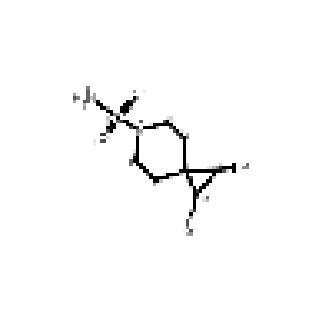 NS(=O)(=O)N1CCC2(CC1)C(F)C2F